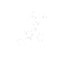 CC(C)c1cccc(C(C)C)c1NC(=O)Nc1cnc(-c2ccccc2)nc1-c1ccccc1Cl